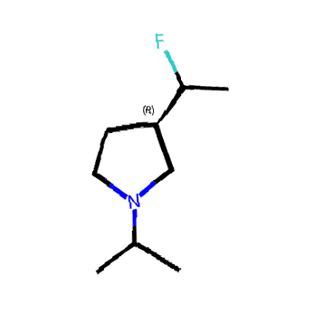 CC(F)[C@@H]1CCN(C(C)C)C1